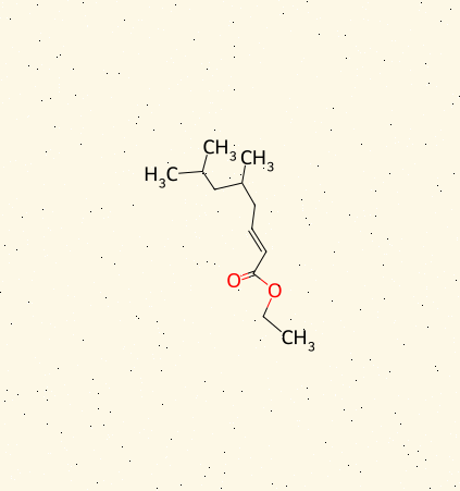 CCOC(=O)C=CCC(C)CC(C)C